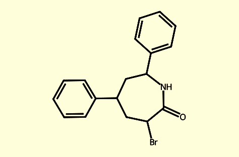 O=C1NC(c2ccccc2)CC(c2ccccc2)CC1Br